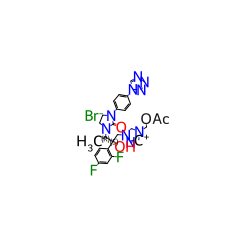 CC(=O)OCN1[C+]=NN(C[C@@](O)(c2ccc(F)cc2F)[C@@H](C)N2CCN(c3ccc(-n4cnnn4)cc3)C2=O)C1.[Br-]